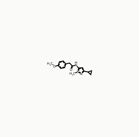 COc1ccc(CC(=O)Nc2cc(C3CC3)nn2C)cc1